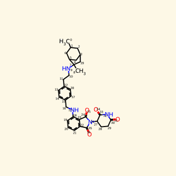 CC1CC2CC(C1)C(C)(NCCc1ccc(CNc3cccc4c3C(=O)N(C3CCC(=O)NC3=O)C4=O)cc1)C2